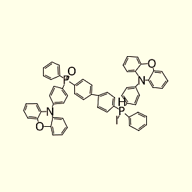 O=P(c1ccccc1)(c1ccc(-c2ccc([PH](I)(c3ccccc3)c3ccc(N4c5ccccc5Oc5ccccc54)cc3)cc2)cc1)c1ccc(N2c3ccccc3Oc3ccccc32)cc1